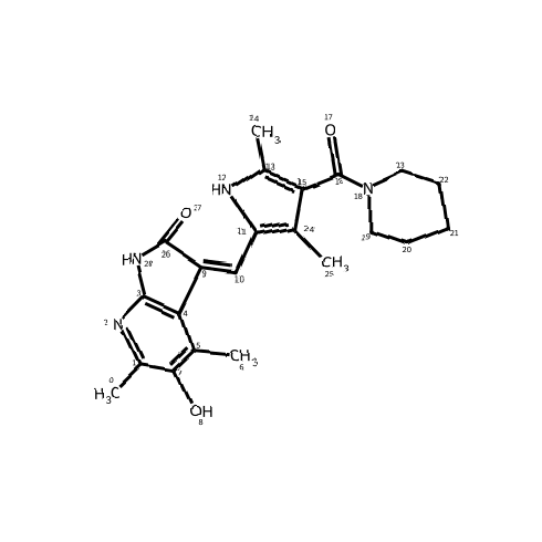 Cc1nc2c(c(C)c1O)C(=Cc1[nH]c(C)c(C(=O)N3CCCCC3)c1C)C(=O)N2